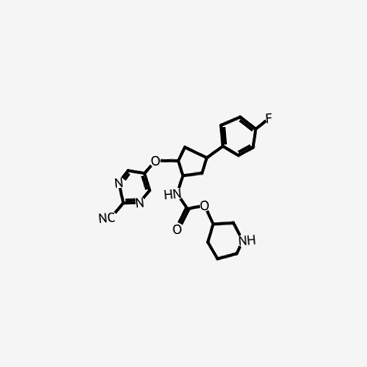 N#Cc1ncc(OC2CC(c3ccc(F)cc3)CC2NC(=O)OC2CCCNC2)cn1